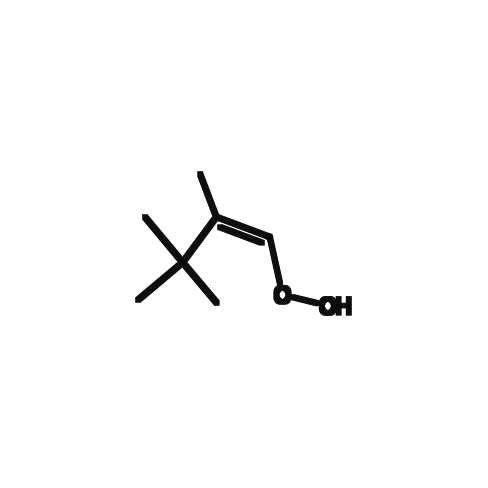 CC(=COO)C(C)(C)C